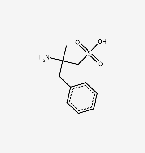 CC(N)(Cc1ccccc1)CS(=O)(=O)O